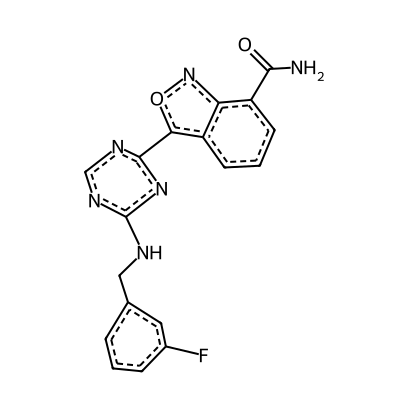 NC(=O)c1cccc2c(-c3ncnc(NCc4cccc(F)c4)n3)onc12